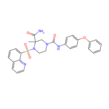 CC1(C(N)=O)CN(C(=O)Nc2ccc(Oc3ccccc3)cc2)CCN1S(=O)(=O)c1cccc2cccnc12